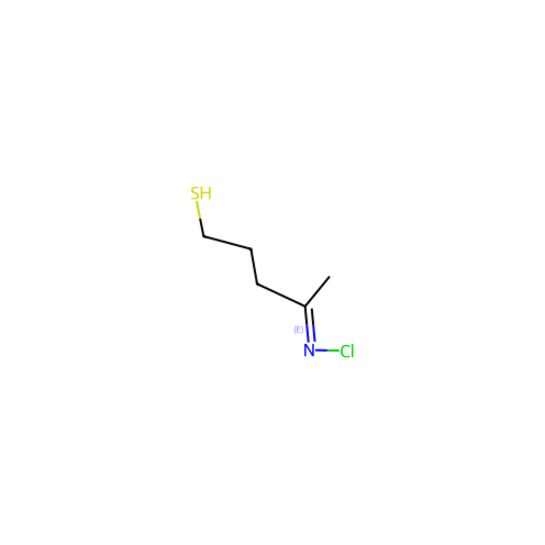 C/C(CCCS)=N\Cl